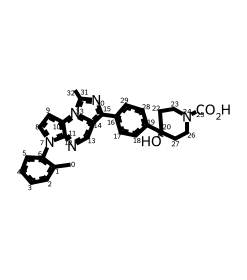 Cc1ccccc1-n1ccc2c1ncc1c(-c3ccc(C4(O)CCN(C(=O)O)CC4)cc3)nc(C)n12